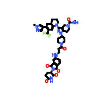 CNC(=O)N1CCc2c(c(N3CCCc4cc(-c5cnn(C)c5)c(C(F)F)cc43)nn2C2CCN(C(=O)CCNc3ccc4c(c3)C(=O)N(C3CCC(=O)NC3=O)C4=O)CC2)C1